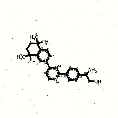 CC1(C)CCC(C)(C)c2cc(-c3ccnc(-c4ccc(C(N)CO)cc4)n3)ccc21